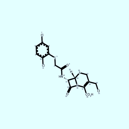 O=C(CSc1cc(Cl)ccc1Cl)N[C@H]1C(=O)N2C(C(=O)O)=C(CCl)CS[C@@H]12